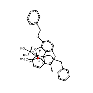 CO[C@]12C=C[C@@]3(C[C@@H]1[C@](C)(O)C(C)(C)C)[C@H]1Cc4ccc(OCc5ccccc5)c5c4[C@@]3(CCN1Cc1ccccc1)[C@H]2O5